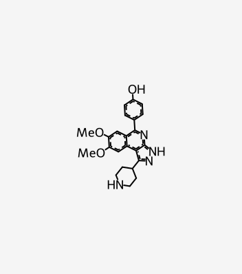 COc1cc2c(-c3ccc(O)cc3)nc3[nH]nc(C4CCNCC4)c3c2cc1OC